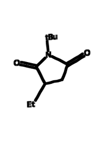 CCC1CC(=O)N(C(C)(C)C)C1=O